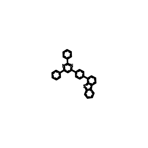 c1ccc(-c2cc(-c3ccc(-c4cccc5c4sc4ccccc45)cc3)nc(-c3ccccc3)n2)cc1